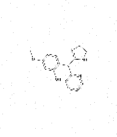 COc1ccc(C(C2=NCCN2)c2ccccn2)c(O)c1